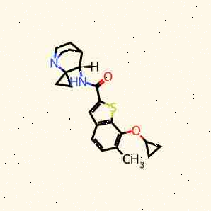 Cc1ccc2cc(C(=O)N[C@H]3C4CCN(CC4)C34CC4)sc2c1OC1CC1